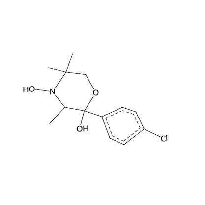 CC1N(O)C(C)(C)COC1(O)c1ccc(Cl)cc1